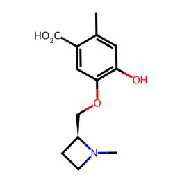 Cc1cc(O)c(OC[C@@H]2CCN2C)cc1C(=O)O